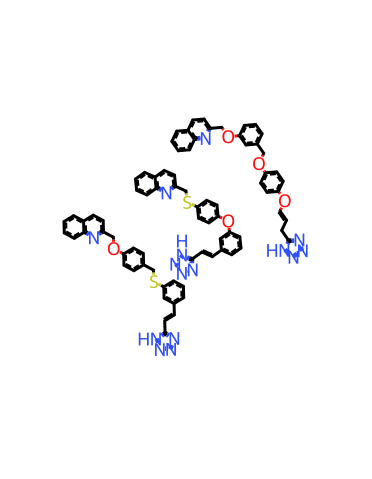 C(=COc1ccc(OCc2cccc(OCc3ccc4ccccc4n3)c2)cc1)Cc1nnn[nH]1.C(=Cc1nnn[nH]1)c1cccc(Oc2ccc(SCc3ccc4ccccc4n3)cc2)c1.C(=Cc1nnn[nH]1)c1cccc(SCc2ccc(OCc3ccc4ccccc4n3)cc2)c1